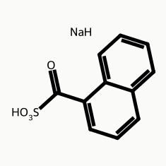 O=C(c1cccc2ccccc12)S(=O)(=O)O.[NaH]